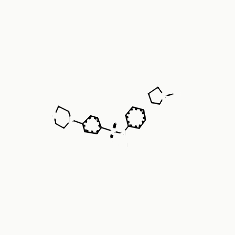 CCCN1CC[C@@H](c2ccc(NS(=O)(=O)c3ccc(N4CCOCC4)cc3)cc2)C1.Cl